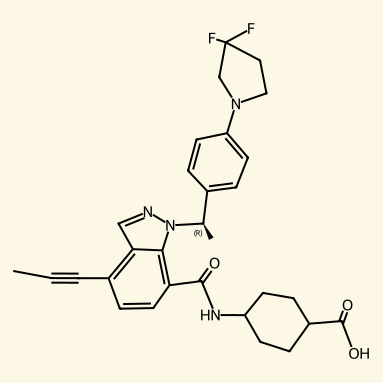 CC#Cc1ccc(C(=O)NC2CCC(C(=O)O)CC2)c2c1cnn2[C@H](C)c1ccc(N2CCC(F)(F)C2)cc1